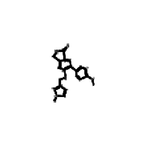 COc1ccc(-c2cc3c(cc2OCc2ccn(C)n2)CNC3=O)cc1